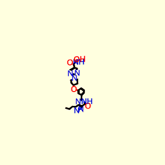 CCCc1nn(C)c2c(=O)[nH]c(-c3cccc(OC4CCN(c5ncc(C(=O)NO)cn5)CC4)c3)nc12